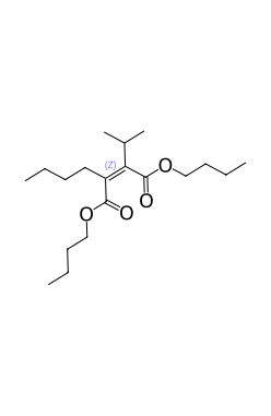 CCCCOC(=O)/C(CCCC)=C(\C(=O)OCCCC)C(C)C